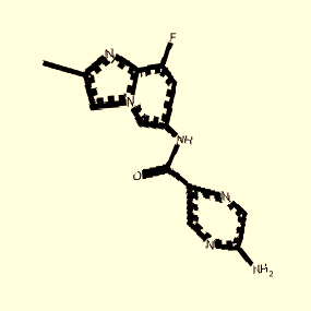 Cc1cn2cc(NC(=O)c3cnc(N)cn3)cc(F)c2n1